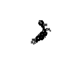 CC[C@]1(O)CC[C@H]2C(=CC[C@@H]3[C@@H]2CC[C@]2(C)[C@@H]([C@H](C)CCCC4(O)CCOCC4)CC[C@@H]32)C1